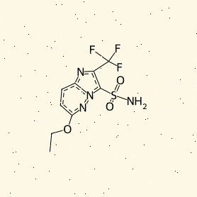 CCOc1ccc2nc(C(F)(F)F)c(S(N)(=O)=O)n2n1